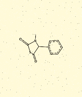 CN1C(=O)SC(=O)C1c1ccccc1